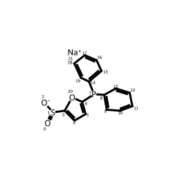 O=S([O-])c1ccc(P(c2ccccc2)c2ccccc2)o1.[Na+]